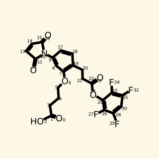 O=C(O)CCCOc1cc(N2C(=O)C=CC2=O)ccc1CCC(=O)Oc1c(F)c(F)cc(F)c1F